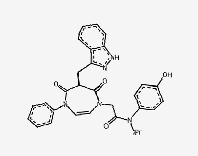 CC(C)N(C(=O)CN1C=CN(c2ccccc2)C(=O)C(Cc2n[nH]c3ccccc23)C1=O)c1ccc(O)cc1